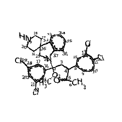 COC(CC(C(C)=O)c1ccc(Cl)c(Cl)c1)(c1cc(Cl)cc(Cl)c1)N1CC2(CCNCC2)c2ccccc21